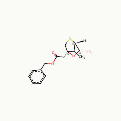 B[C@@H]1O[C@@]2(CC(=O)OCc3ccccc3)CS[C@H]1C2C